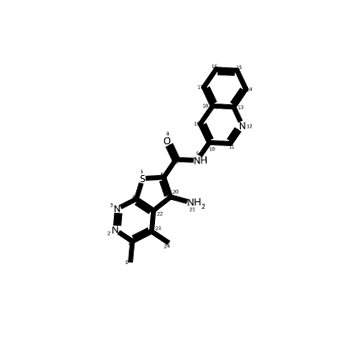 Cc1nnc2sc(C(=O)Nc3cnc4ccccc4c3)c(N)c2c1C